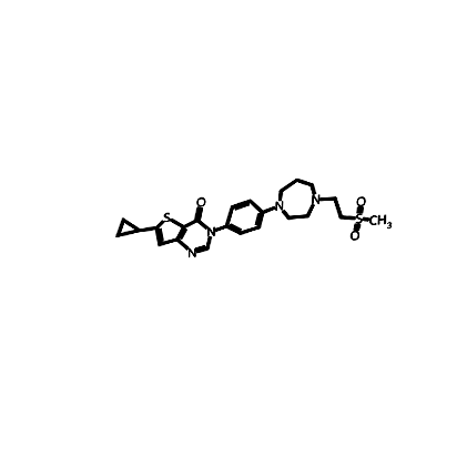 CS(=O)(=O)CCN1CCCN(c2ccc(-n3cnc4cc(C5CC5)sc4c3=O)cc2)CC1